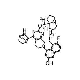 [2H]C([2H])(Oc1nc2c(c(N3CC4CCC3CN4)n1)CCN(c1cc(O)cc3ccc(F)c(CC)c13)C2)C12CCCN1CCC2